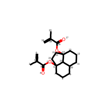 C=C(C)C(=O)OC12CCCC3CCCC(OC(=O)C(=C)C)(CC1)C32